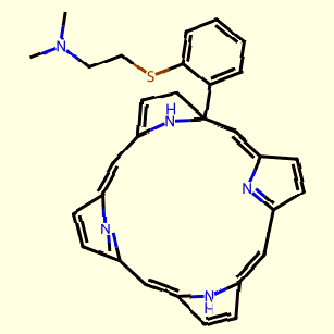 CN(C)CCSc1ccccc1C12C=C3C=CC(=N3)C=c3ccc([nH]3)=CC3=NC(=CC(=CC1)N2)C=C3